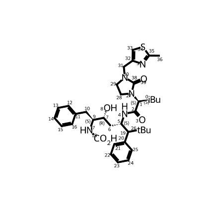 CC[C@H](C)[C@@H](C(=O)N[C@@H](C[C@@H](O)[C@H](Cc1ccccc1)NC(=O)O)C(c1ccccc1)C(C)(C)C)N1CCN(Cc2csc(C)n2)C1=O